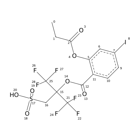 CCC(=O)Oc1cc(I)ccc1C(=O)OC(CS(=O)(=O)O)(C(F)(F)F)C(F)(F)F